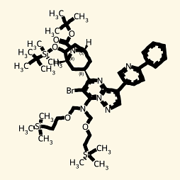 CC(C)(C)OC(=O)N1[C@@H]2CC(O[Si](C)(C)C(C)(C)C)[C@H]1C[C@H](c1nc3c(-c4ccc(-c5ccccc5)nc4)cnn3c(N(COCC[Si](C)(C)C)COCC[Si](C)(C)C)c1Br)C2